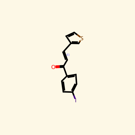 O=C(/C=C/c1ccsc1)c1ccc(I)cc1